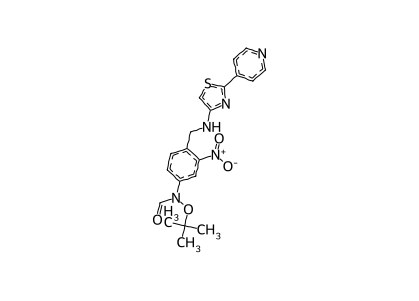 CC(C)(C)ON(C=O)c1ccc(CNc2csc(-c3ccncc3)n2)c([N+](=O)[O-])c1